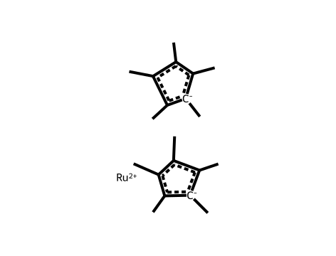 Cc1c(C)c(C)[c-](C)c1C.Cc1c(C)c(C)[c-](C)c1C.[Ru+2]